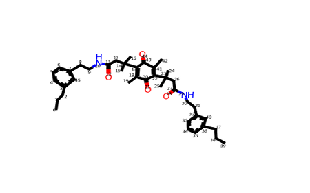 CCCc1cccc(CCNC(=O)CC(C)(C)C2=C(C)C(=O)C(C(C)(C)CC(=O)NCCc3cccc(CCC)c3)=C(C)C2=O)c1